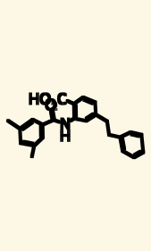 Cc1cc(C)cc(C(=O)Nc2cc(CCc3ccccc3)ccc2C(=O)O)c1